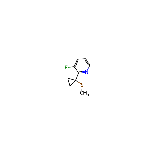 CSC1(c2ncccc2F)CC1